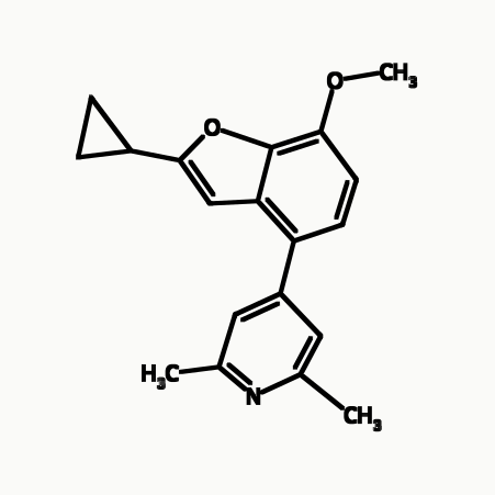 COc1ccc(-c2cc(C)nc(C)c2)c2cc(C3CC3)oc12